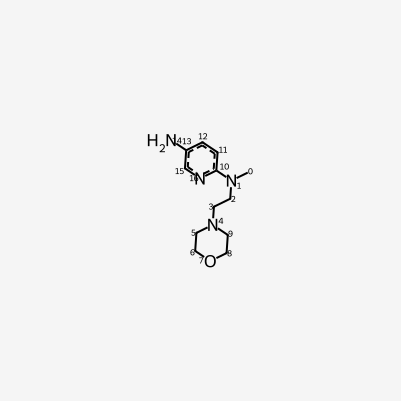 CN(CCN1CCOCC1)c1ccc(N)cn1